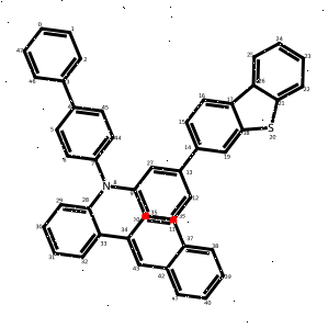 c1ccc(-c2ccc(N(c3cccc(-c4ccc5c(c4)sc4ccccc45)c3)c3ccccc3-c3ccc4ccccc4c3)cc2)cc1